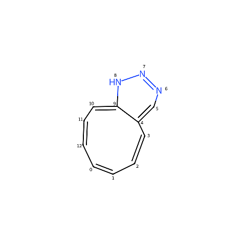 c1cccc2cnn[nH]c-2ccc1